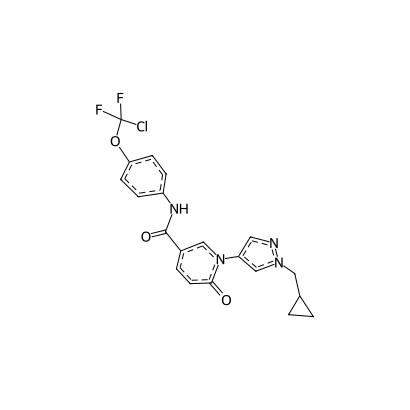 O=C(Nc1ccc(OC(F)(F)Cl)cc1)c1ccc(=O)n(-c2cnn(CC3CC3)c2)c1